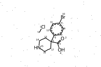 CCl.O=C(O)C1(c2ccc(Br)cc2)CCNCC1